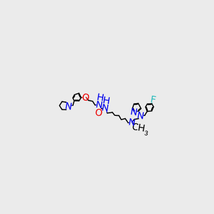 CN(CCCCCCCNC(=O)NCCCOc1cccc(CN2CCCCC2)c1)CCN(Cc1ccc(F)cc1)c1ccccn1